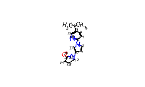 CC(C)c1ccc(N2CCC(N3CCCC3=O)C2)nc1